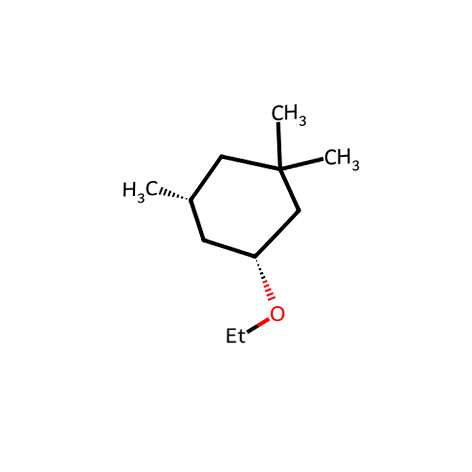 CCO[C@@H]1C[C@H](C)CC(C)(C)C1